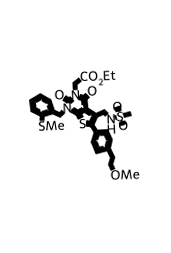 CCOC(=O)Cn1c(=O)c2c(CNS(C)(=O)=O)c(-c3ccc(CCOC)cc3)sc2n(Cc2ccccc2SC)c1=O